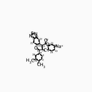 Cc1ccc(C(=O)C(Cc2ccccc2)=C(C(=O)[O-])c2ccc3nsnc3c2)cc1C.[Na+]